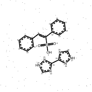 O=S(=O)(O)C(=Cc1ccccc1)c1ccccc1.c1nc(-c2nc[nH]n2)n[nH]1